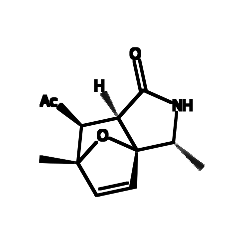 CC(=O)[C@H]1[C@H]2C(=O)N[C@H](C)[C@@]23C=C[C@@]1(C)O3